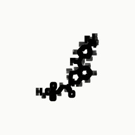 CS(=O)(=O)CCC(=O)N1CCc2c(cccc2C(F)c2ccc(C(F)(F)F)cc2)C1